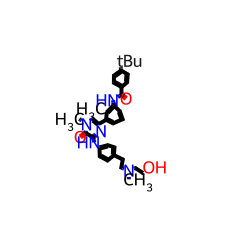 Cc1c(NC(=O)c2ccc(C(C)(C)C)cc2)cccc1-c1cn(C)c(=O)c(Nc2ccc(CCN(C)CCO)cc2)n1